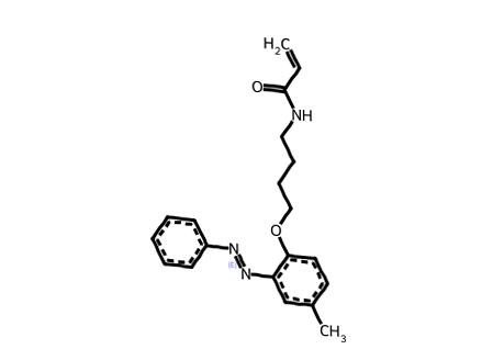 C=CC(=O)NCCCCOc1ccc(C)cc1/N=N/c1ccccc1